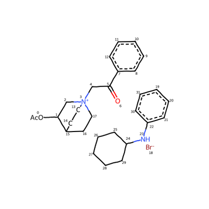 CC(=O)OC1C[N+]2(CC(=O)c3ccccc3)CCC1CC2.[Br-].c1ccc(NC2CCCCC2)cc1